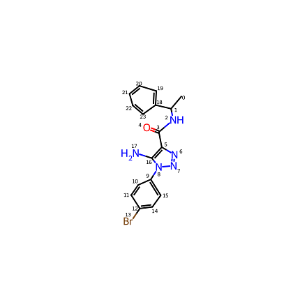 CC(NC(=O)c1nnn(-c2ccc(Br)cc2)c1N)c1ccccc1